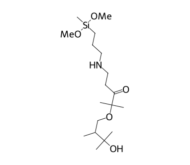 CO[Si](C)(CCCNCCC(=O)C(C)(C)OCC(C)C(C)(C)O)OC